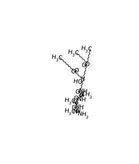 CCCCCCCCCCCOC(=O)CCCCCN(CCCCCCCC(=O)OC(CCCCCCCC)CCCCCCCC)CC(O)CCCCNC(=O)c1cc(NC(=O)c2cc(NC(=O)c3nc(N)cn3C)cn2C)cn1C